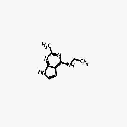 Cc1nc(NCC(F)(F)F)c2cc[nH]c2n1